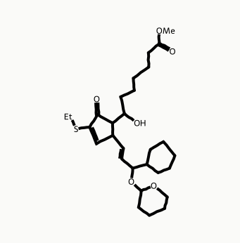 CCSC1=CC(C=CC(OC2CCCCO2)C2CCCCC2)C(C(O)CCCCCC(=O)OC)C1=O